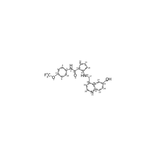 O=C(Nc1ccc(OC(F)(F)F)cc1)c1sccc1NCc1ccnc2ccc(O)cc12